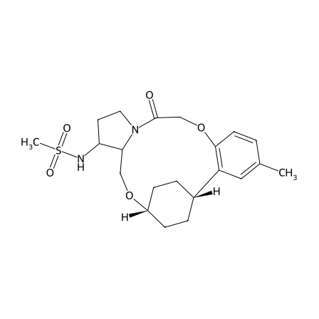 Cc1ccc2c(c1)[C@H]1CC[C@H](CC1)OCC1C(NS(C)(=O)=O)CCN1C(=O)CO2